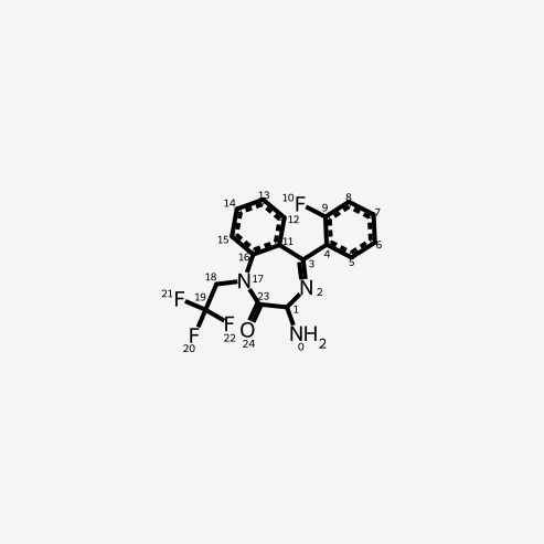 NC1N=C(c2ccccc2F)c2ccccc2N(CC(F)(F)F)C1=O